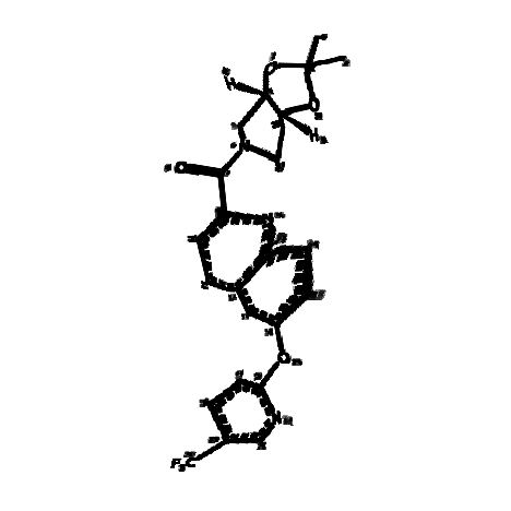 CC1(C)O[C@H]2CN(C(=O)c3ccc4cc(Oc5ccc(C(F)(F)F)cn5)ccc4n3)C[C@H]2O1